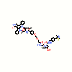 CO[C@@H]1[C@H](N(C)C(=O)c2ccc(OCCOCCC(=O)N[C@H](C(=O)N3C[C@H](O)C[C@H]3C(=O)NCc3ccc(-c4scnc4C)cc3)C(C)(C)C)cc2)C[C@H]2O[C@]1(C)n1c3ccccc3c3c4c(c5c6ccccc6n2c5c31)C(=O)NC4